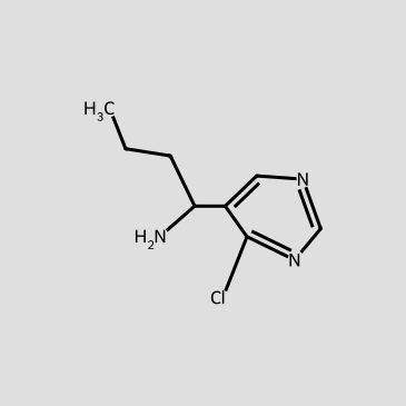 CCCC(N)c1cncnc1Cl